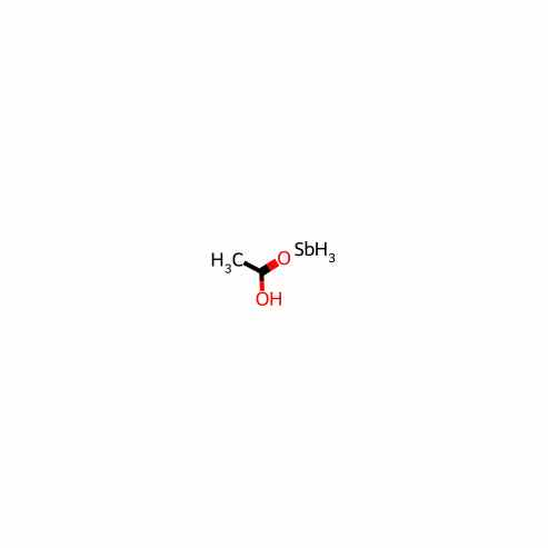 CC(=O)O.[SbH3]